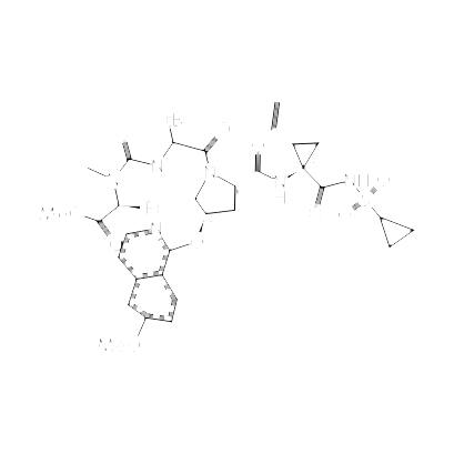 C=C[C@@H]1C[C@]1(NC(=O)[C@@H]1C[C@@H](Oc2nccc3cc(OC)ccc23)CN1C(=O)C(NC(=O)N(C)[C@H](C(=O)OC)C(C)C)C(C)(C)C)C(=O)NS(=O)(=O)C1CC1